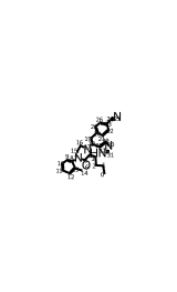 CCCCC1C(=O)N(c2ccccc2C)CCN1C(Cc1ccc(C#N)cc1)c1cnc[nH]1